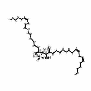 CCCCC/C=C\C/C=C\CCCCCCCC(=O)C(O)C(N)(C(=O)CCCCCCC/C=C\C/C=C\CCCCC)P(=O)(O)O